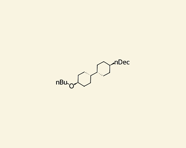 CCCCCCCCCC[C@H]1CC[C@H]([C@H]2CC[C@H](OCCCC)CC2)CC1